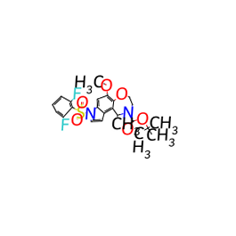 COc1cc2c(ccn2S(=O)(=O)c2c(F)cccc2F)c2c1OCCN(C(=O)OC(C)(C)C)C2C